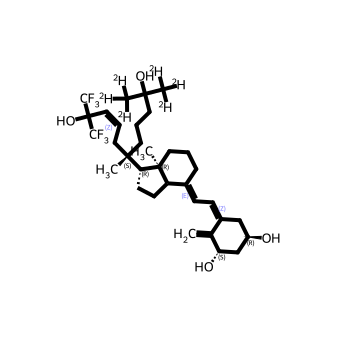 [2H]C([2H])([2H])C(O)(CCC[C@@](C)(C/C=C\C(O)(C(F)(F)F)C(F)(F)F)[C@H]1CCC2/C(=C/C=C3/C[C@@H](O)C[C@H](O)C3=C)CCC[C@@]21C)C([2H])([2H])[2H]